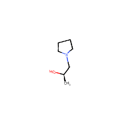 C[C@@H](O)[CH]N1CCCC1